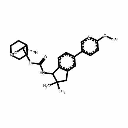 CCCOc1ccc(-c2ccc3c(c2)CC(C)(C)C3NC(=O)O[C@H]2CN3CCC2CC3)cn1